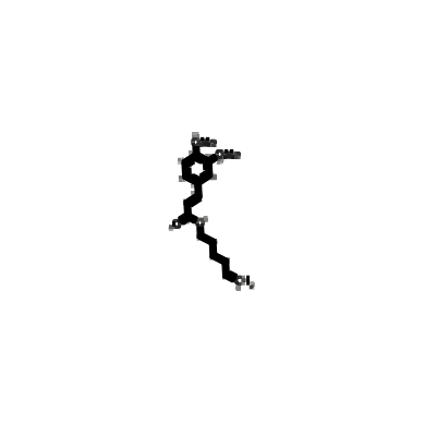 C=CCCCCOC(=O)C=Cc1ccc(OC)c(OC)c1